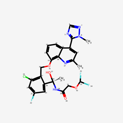 Cc1cc(-c2ncnn2C)c2cccc(OCc3c(Cl)cc(F)cc3[C@@](C)(O)NC(=O)COC(F)F)c2n1